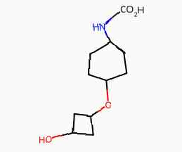 O=C(O)NC1CCC(OC2CC(O)C2)CC1